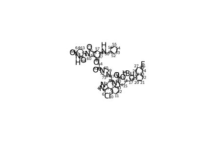 Cc1nn(C)c(C)c1-c1c(Cl)ccc2c(CCCOc3cccc4cc(F)ccc34)c(C(=O)OC(C)(C)C)n(CCN3CCN(C(=O)COc4cc(NCc5ccccc5)cc5c4CN(C4CCC(=O)NC4=O)C5=O)CC3)c12